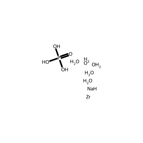 O.O.O.O.O.O=P(O)(O)O.[NaH].[Zr]